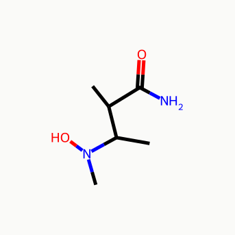 CC(C(N)=O)C(C)N(C)O